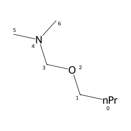 CCCCOCN(C)C